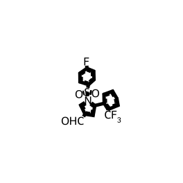 O=Cc1cc(-c2ccccc2C(F)(F)F)n(S(=O)(=O)c2ccc(F)cc2)c1